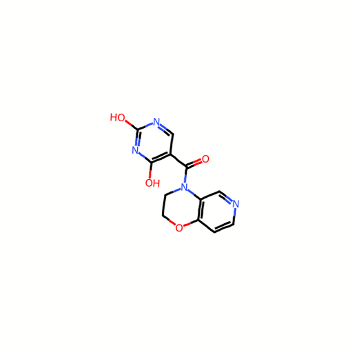 O=C(c1cnc(O)nc1O)N1CCOc2ccncc21